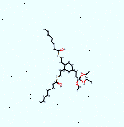 CCCCCCCC(=O)SCCC1CCC(CC[Si](OCC)(OCC)OCC)CC1CCSC(=O)CCCCCCC